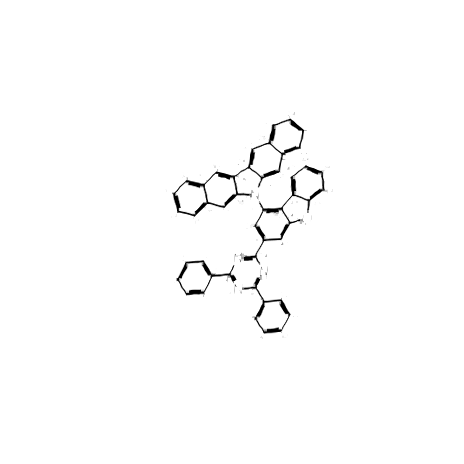 c1ccc(-c2nc(-c3ccccc3)nc(-c3cc(-n4c5cc6ccccc6cc5c5cc6ccccc6cc54)c4c(c3)oc3ccccc34)n2)cc1